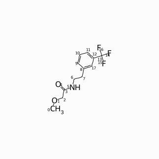 COCC(=O)NCCc1cccc(C(F)(F)F)c1